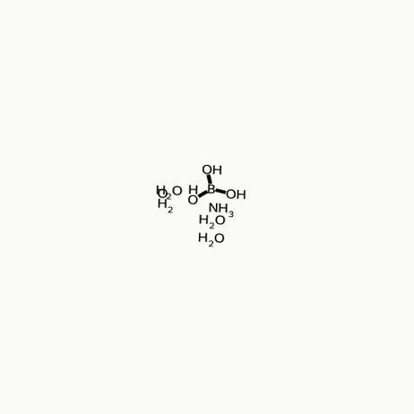 N.O.O.O.O.OB(O)O